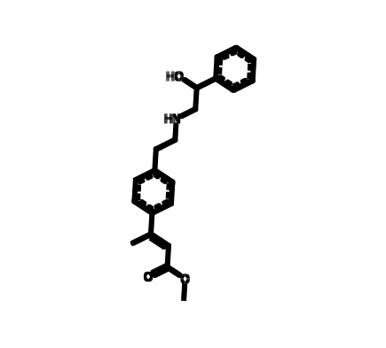 COC(=O)C=C(C)c1ccc(CCNCC(O)c2ccccc2)cc1